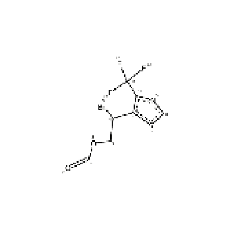 O=COCC(Br)c1scnc1C(F)(F)F